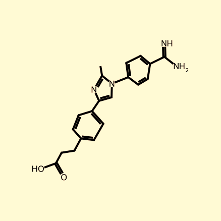 Cc1nc(-c2ccc(CCC(=O)O)cc2)cn1-c1ccc(C(=N)N)cc1